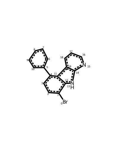 Brc1ccc(-c2ccccc2)c2c1[nH]c1ncccc12